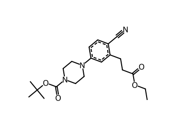 CCOC(=O)CCc1cc(N2CCN(C(=O)OC(C)(C)C)CC2)ccc1C#N